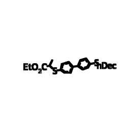 CCCCCCCCCCSc1ccc(-c2ccc(S[C@H](C)C(=O)OCC)cc2)cc1